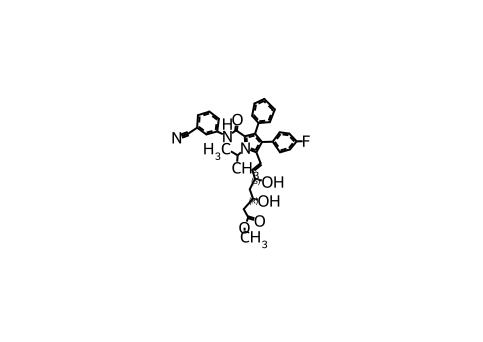 COC(=O)C[C@H](O)C[C@H](O)C=Cc1c(-c2ccc(F)cc2)c(-c2ccccc2)c(C(=O)Nc2cccc(C#N)c2)n1C(C)C